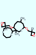 CCC1(COC2CCC(C)(C3CCCCCCCC3)C(OCC3(CC)COC3)CCC(C)C2)COC1